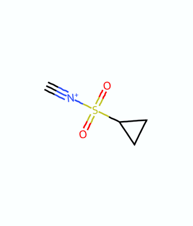 C#[N+]S(=O)(=O)C1CC1